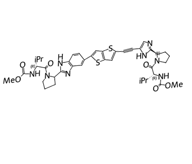 COC(=O)N[C@@H](C(=O)N1CCCC1c1nc2cc(-c3cc4sc(C#Cc5cnc([C@H]6CCCN6C(=O)[C@H](NC(=O)OC)C(C)C)[nH]5)cc4s3)ccc2[nH]1)C(C)C